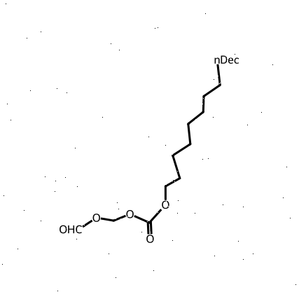 CCCCCCCCCCCCCCCCCCOC(=O)OCOC=O